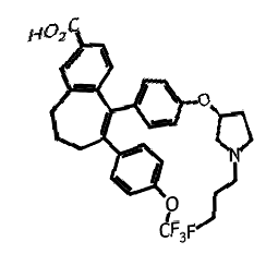 O=C(O)c1ccc2c(c1)CCCC(c1ccc(OC(F)(F)F)cc1)=C2c1ccc(O[C@H]2CCN(CCCF)C2)cc1